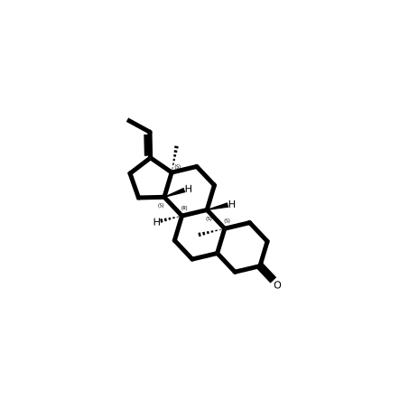 CC=C1CC[C@H]2[C@@H]3CCC4CC(=O)CC[C@]4(C)[C@H]3CC[C@]12C